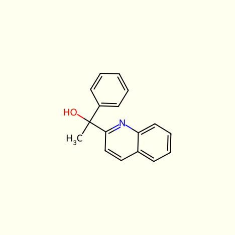 CC(O)(c1ccccc1)c1ccc2ccccc2n1